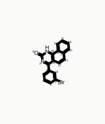 O=c1nc(-c2cccc(Br)c2)c2ccc3ccccc3c2[nH]1